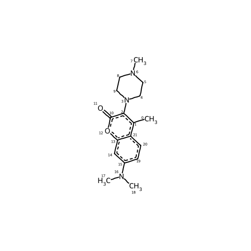 Cc1c(N2CCN(C)CC2)c(=O)oc2cc(N(C)C)ccc12